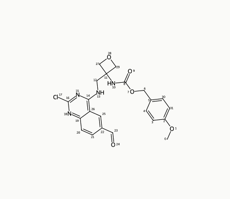 COc1ccc(COC(=O)NC2(CNc3nc(Cl)nc4ccc(C=O)cc34)COC2)cc1